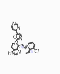 C/C=C1/C(Cl)=CC=CN1/N=C/[C@H]1c2nc[nH]c2CCN1c1nnc(-c2ccncn2)o1